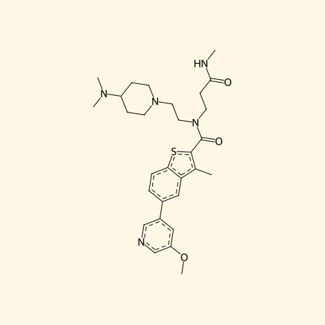 CNC(=O)CCN(CCN1CCC(N(C)C)CC1)C(=O)c1sc2ccc(-c3cncc(OC)c3)cc2c1C